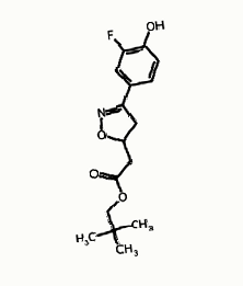 CC(C)(C)COC(=O)CC1CC(c2ccc(O)c(F)c2)=NO1